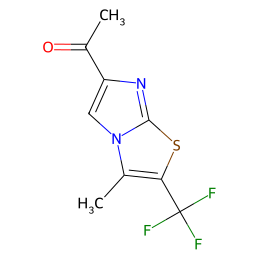 CC(=O)c1cn2c(C)c(C(F)(F)F)sc2n1